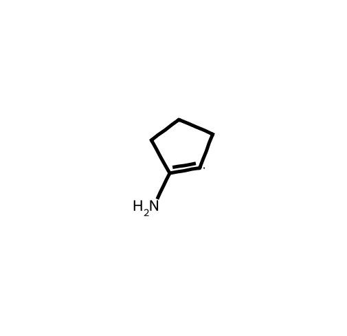 NC1=[C]CCC1